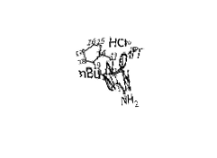 CCCCc1nc2c(N)nnc(OC(C)C)c2n1CC1CCCCC1.Cl